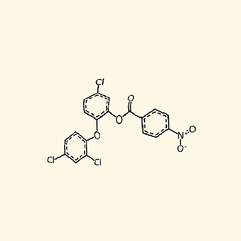 O=C(Oc1cc(Cl)ccc1Oc1ccc(Cl)cc1Cl)c1ccc([N+](=O)[O-])cc1